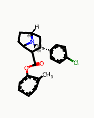 Cc1ccccc1OC(=O)C1C2CC[C@H](C[C@@H]1c1ccc(Cl)cc1)N2C